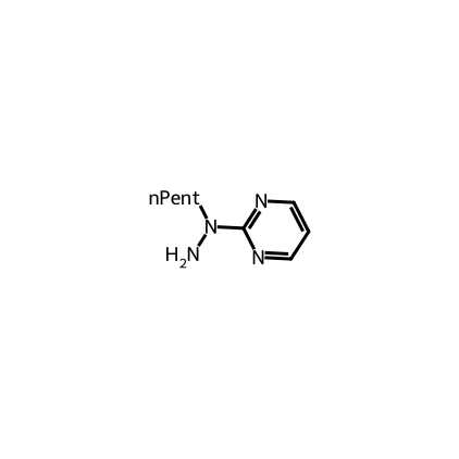 CCCCCN(N)c1ncccn1